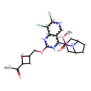 COC(=O)C12CC(COc3nc(N4CC5CCC(C4)N5C(=O)OC(C)(C)C)c4cnc(Cl)c(F)c4n3)(C1)C2